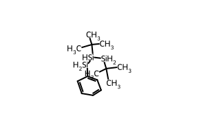 CC(C)(C)[SiH2][SiH]([SiH2]c1ccccc1)C(C)(C)C